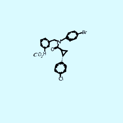 O=C(O)c1cccc(CN(C(=O)C2C[C@@H]2c2ccc(Cl)cc2)c2ccc(Br)cc2)c1